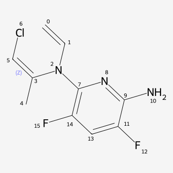 C=CN(/C(C)=C\Cl)c1nc(N)c(F)cc1F